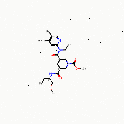 CCOC[C@@H](CC(C)C)NC(=O)[C@H]1C[C@@H](C(=O)N(CC(C)C)c2cc(OC)c(C(C)C)cn2)CN(C(=O)OC(C)(C)C)C1